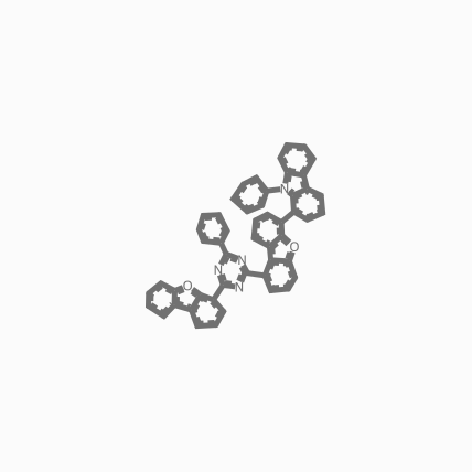 c1ccc(-c2nc(-c3cccc4c3oc3ccccc34)nc(-c3cccc4oc5c(-c6cccc7c8ccccc8n(-c8ccccc8)c67)cccc5c34)n2)cc1